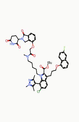 Cc1nn(C)c(C)c1-c1c(Cl)ccc2c(CCCOc3cccc4cc(F)ccc34)c(C(=O)OC(C)(C)C)n(CCCCCN(C)C(=O)COc3cccc4c3CN(C3CCC(=O)NC3=O)C4=O)c12